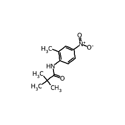 Cc1cc([N+](=O)[O-])ccc1NC(=O)C(C)(C)C